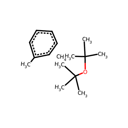 C.CC(C)(C)OC(C)(C)C.Cc1ccccc1